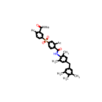 CNC(=O)c1cc(S(=O)(=O)c2ccc(C(=O)Nc3c(C)cc(Cc4cc(C)c(C)c(C)c4)cc3C)c(C(C)=O)c2)ccc1C(C)=O